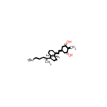 C=C1[C@H](O)CC(=C/C=C2\CCC[C@@H]3C([C@@H](C)CCCC(C)(C)C)CC[C@@H]23)C[C@H]1O